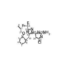 C=CCOc1ccccc1Cc1nc(C(F)F)nn1-c1cc(Cl)nc(N)n1